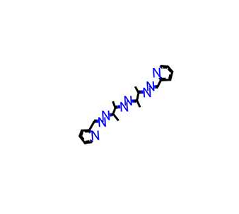 CC(=N\N=C\c1ccccn1)/C(C)=N/N=C(C)/C(C)=N/N=C/c1ccccn1